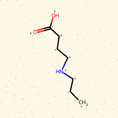 CCCNCCCC(=O)O